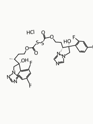 C[C@H](CCOC(=O)SSC(=O)OCC[C@@H](C)[C@](O)(Cn1cncn1)c1ccc(F)cc1F)[C@](O)(Cn1cncn1)c1ccc(F)cc1F.Cl